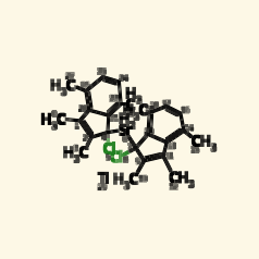 CC1=C(C)C(Cl)([SiH2]C2(Cl)C(C)=C(C)c3c(C)ccc(C)c32)c2c(C)ccc(C)c21.[Ti]